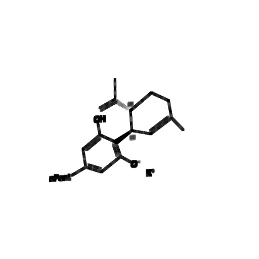 C=C(C)[C@@H]1CCC(C)=C[C@H]1c1c([O-])cc(CCCCC)cc1O.[K+]